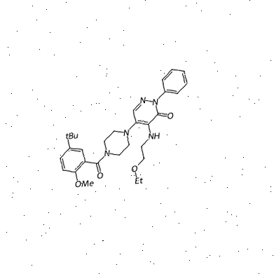 CCOCCNc1c(N2CCN(C(=O)c3cc(C(C)(C)C)ccc3OC)CC2)cnn(-c2ccccc2)c1=O